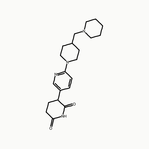 O=C1CCC(c2ccc(N3CCC(CN4CCCCC4)CC3)nc2)C(=O)N1